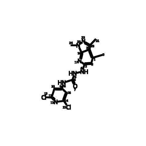 Cc1cc(NNC(=O)Nc2cc(Cl)nc(Cl)c2)nc2c1c(C)nn2C